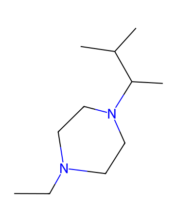 CCN1CCN(C(C)C(C)C)CC1